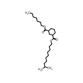 CCCCCCCOC(=O)C1CCCC(C(=O)OCCCCCCCCC(C)C)C1